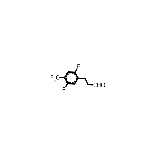 O=CCCc1cc(F)c(C(F)(F)F)cc1F